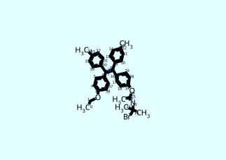 CCOc1ccc(/C(=C(/c2ccc(C)cc2)c2ccc(O/C(C)=N/C(C)(C)Br)cc2)c2ccc(C)cc2)cc1